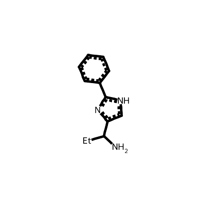 CCC(N)c1c[nH]c(-c2ccccc2)n1